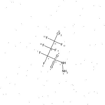 NNS(=O)(=O)C(F)(F)C(F)(F)C(F)(F)C(F)(F)F